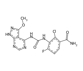 COc1n[nH]c2ncnc(NC(=O)Nc3c(F)ccc(C(N)=O)c3Cl)c12